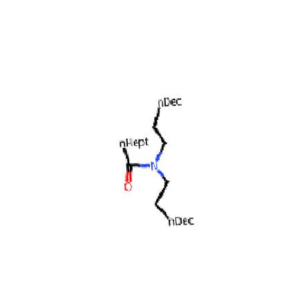 CCCCCCCCCCCCN(CCCCCCCCCCCC)C(=O)CCCCCCC